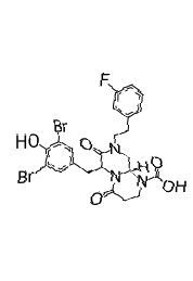 O=C1[C@H](Cc2cc(Br)c(O)c(Br)c2)N2C(=O)CCN(C(=O)O)[C@H]2CN1CCc1cccc(F)c1